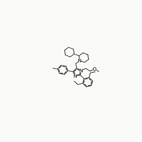 CCc1cccc(CC)c1-c1nc(-c2ccc(C)cc2)c(CN2CCCCC2C2CCCCC2)n1CCOC